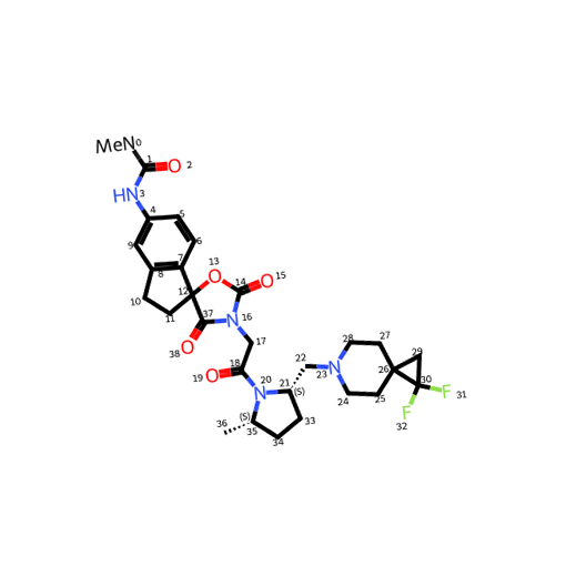 CNC(=O)Nc1ccc2c(c1)CCC21OC(=O)N(CC(=O)N2[C@H](CN3CCC4(CC3)CC4(F)F)CC[C@@H]2C)C1=O